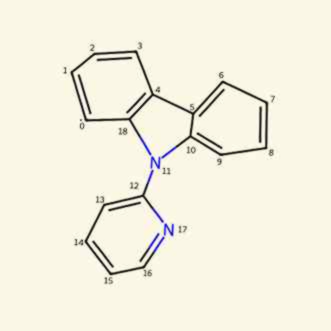 [c]1cccc2c3ccccc3n(-c3ccccn3)c12